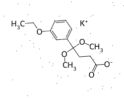 CCOc1cccc(C(CCC(=O)[O-])(OC)OC)c1.[K+]